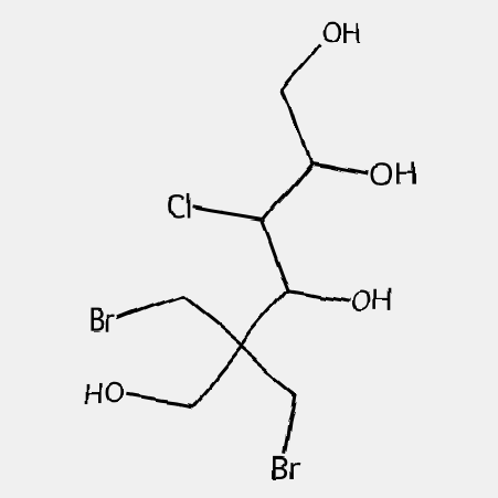 OCC(O)C(Cl)C(O)C(CO)(CBr)CBr